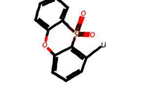 [Li][c]1cccc2c1S(=O)(=O)c1ccccc1O2